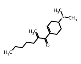 C=C(CCCCC)C(=O)C1=CCC(N(C)C)CC1